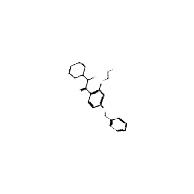 O=C(c1ccc(OCc2ccccc2)cc1OCCCl)C(Br)C1CCCCC1